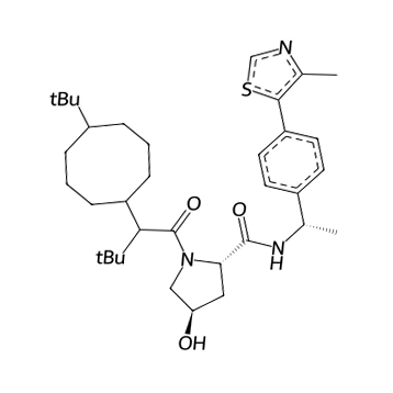 Cc1ncsc1-c1ccc([C@H](C)NC(=O)[C@@H]2C[C@@H](O)CN2C(=O)C(C2CCCC(C(C)(C)C)CCC2)C(C)(C)C)cc1